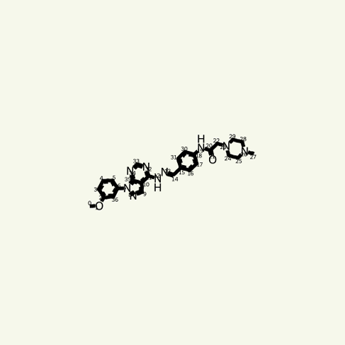 COc1cccc(-n2ncc3c(N/N=C/c4ccc(NC(=O)CN5CCN(C)CC5)cc4)ncnc32)c1